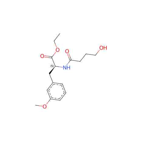 CCOC(=O)[C@H](Cc1cccc(OC)c1)NC(=O)CCCO